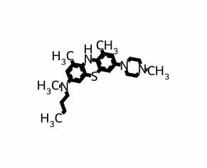 CCCCN(C)c1cc(C)c2c(c1)Sc1cc(N3CCN(C)CC3)cc(C)c1N2